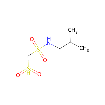 CC(C)CNS(=O)(=O)C[SH](=O)=O